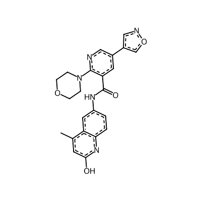 Cc1cc(O)nc2ccc(NC(=O)c3cc(-c4cnoc4)cnc3N3CCOCC3)cc12